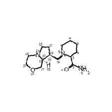 NC(=O)C1C[CH]CCN1C[C@@H]1CCN2CCOC[C@H]12